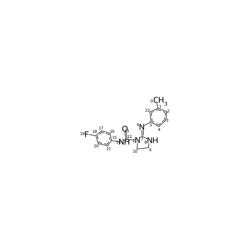 Cc1cccc(/N=C2\NCCN2C(=O)Nc2ccc(F)cc2)c1